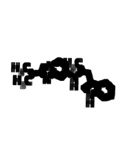 C=C(Cc1c[nH]c2ccccc12)Nc1ccn2cc(C(C)C)nc2c1